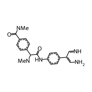 CNC(=O)c1ccc(C(NC)C(=O)Nc2ccc(/C(C=N)=C/N)cc2)cc1